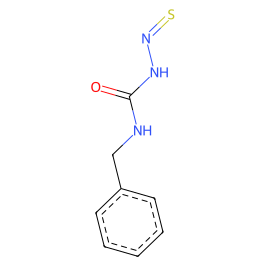 O=C(NCc1ccccc1)NN=S